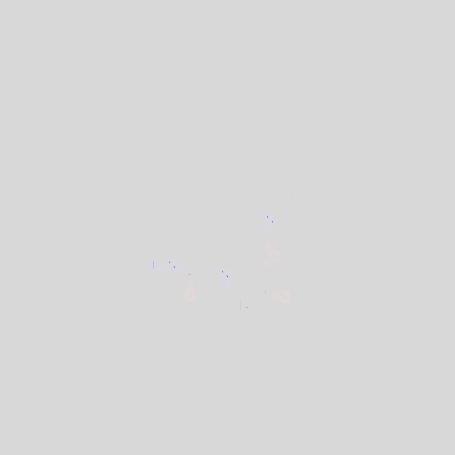 CC(C)(C)C(=O)c1oc2nc(-c3ccccc3Cl)c(-c3ccc(Cl)cc3)cc2c1NCC(N)=O